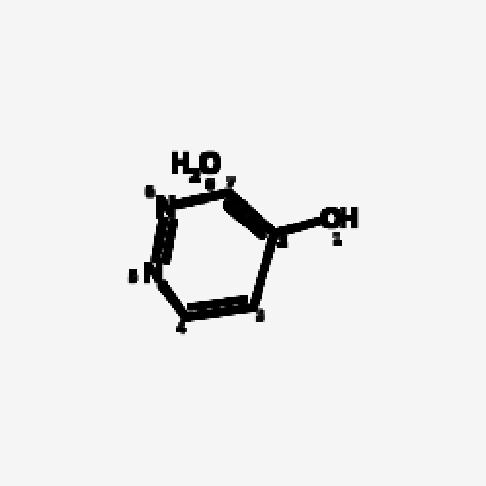 O.Oc1ccnnc1